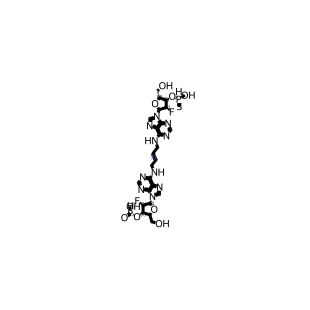 O=[PH](O)O[C@@H]1C(CO)O[C@@H](n2cnc3c(NC/C=C/CNc4ncnc5c4ncn5C4O[C@H](CO)[C@@H](O[PH](O)=S)[C@H]4F)ncnc32)[C@@H]1F